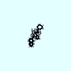 O=C(NC1CCCCCC1)C(=O)C1CCCN1C(=O)c1ccc2ccccc2c1